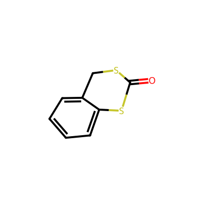 O=C1SCc2ccccc2S1